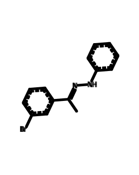 C/C(=N\Nc1ccccc1)c1cccc(Br)c1